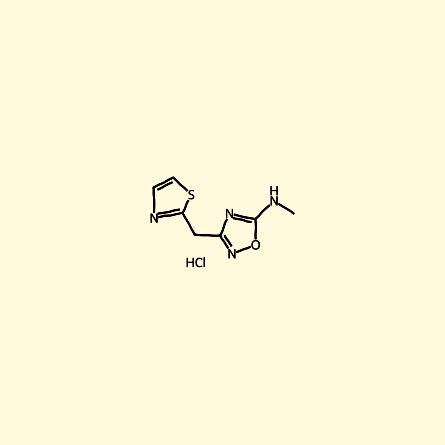 CNc1nc(Cc2nccs2)no1.Cl